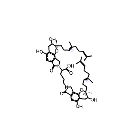 CC(C)=CCC/C(C)=C/CC[C@]1(C)Oc2c(c(O)cc3c2CN(CCCC(C(=O)O)N2Cc4c(cc(O)c5c4O[C@@](C)(CC/C=C(\C)CCC=C(C)C)C(O)C5)C2=O)C3=O)CC1O